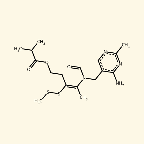 CSS/C(CCOC(=O)C(C)C)=C(\C)N(C=O)Cc1cnc(C)nc1N